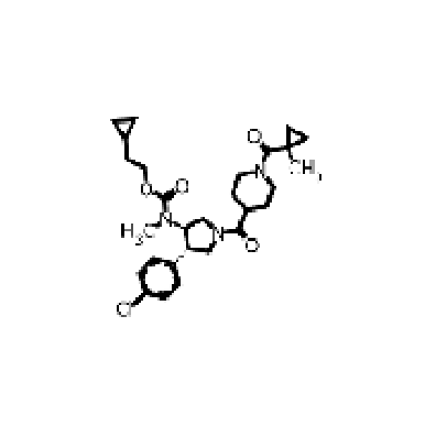 CN(C(=O)OCCC1CC1)[C@H]1CN(C(=O)C2CCN(C(=O)C3(C)CC3)CC2)C[C@@H]1c1ccc(Cl)cc1